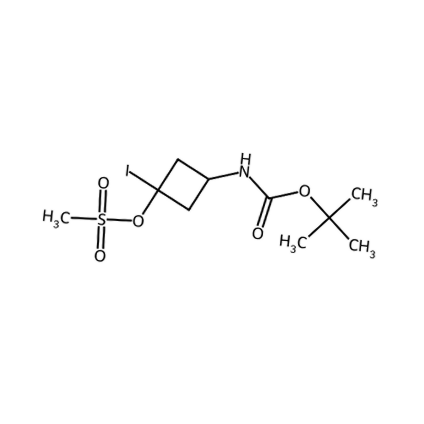 CC(C)(C)OC(=O)NC1CC(I)(OS(C)(=O)=O)C1